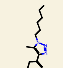 C=C(CC)c1nnn(CCCCCC)c1C